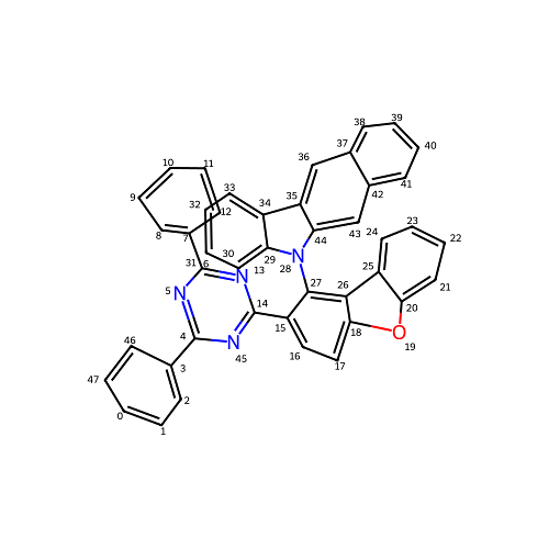 c1ccc(-c2nc(-c3ccccc3)nc(-c3ccc4oc5ccccc5c4c3-n3c4ccccc4c4cc5ccccc5cc43)n2)cc1